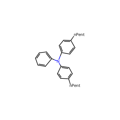 CCCCCc1ccc(N(c2ccccc2)c2ccc(CCCCC)cc2)cc1